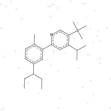 CCC(CC)c1ccc(C)c(-c2cc(C(C)C)c(S(C)(C)C)cn2)c1